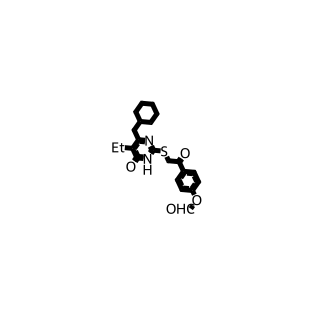 CCc1c(CC2CCCCC2)nc(SCC(=O)c2ccc(OC=O)cc2)[nH]c1=O